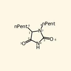 CCCCCC1C(=O)NC(=O)N1CCCCC